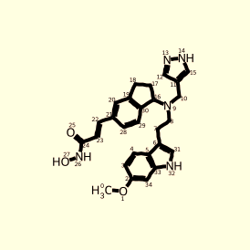 COc1ccc2c(CCN(Cc3cn[nH]c3)C3CCc4cc(C=CC(=O)NO)ccc43)c[nH]c2c1